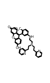 O=C(O)c1ccc(NCCN(CCc2ccccn2)CCc2ccccn2)cc1-c1c2ccc(=O)cc-2oc2cc(O)ccc12